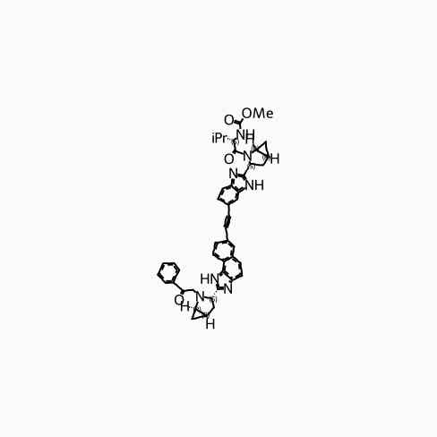 COC(=O)N[C@H](C(=O)N1[C@@H]2C[C@@H]2C[C@H]1c1nc2ccc(C#Cc3ccc4c(ccc5nc([C@@H]6C[C@H]7C[C@H]7N6CC(=O)c6ccccc6)[nH]c54)c3)cc2[nH]1)C(C)C